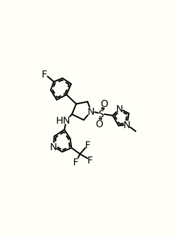 Cn1cnc(S(=O)(=O)N2CC(Nc3cncc(C(F)(F)F)c3)C(c3ccc(F)cc3)C2)c1